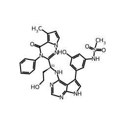 Cc1ccn2nc([C@H](CCO)Nc3ncnc4[nH]cc(-c5cc(O)cc(NS(C)(=O)=O)c5)c34)n(-c3ccccc3)c(=O)c12